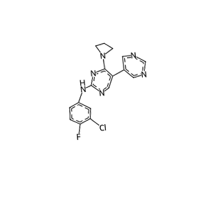 Fc1ccc(Nc2ncc(-c3cncnc3)c(N3CCC3)n2)cc1Cl